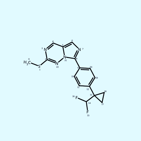 CSc1ncc2cnc(-c3ccc(C4(C(F)F)CC4)cc3)n2n1